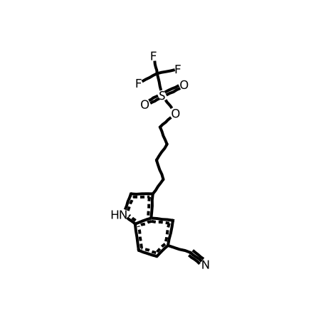 N#Cc1ccc2[nH]cc(CCCCOS(=O)(=O)C(F)(F)F)c2c1